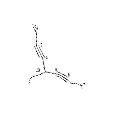 [CH2]C#CC(C)C#C[CH2]